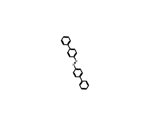 c1ccc(-c2ccc(N=Nc3ccc(-c4ccccc4)cc3)cc2)cc1